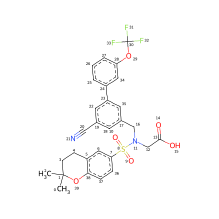 CC1(C)CCc2cc(S(=O)(=O)N(CC(=O)O)Cc3cc(C#N)cc(-c4cccc(OC(F)(F)F)c4)c3)ccc2O1